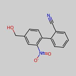 N#Cc1ccccc1-c1ccc(CO)cc1[N+](=O)[O-]